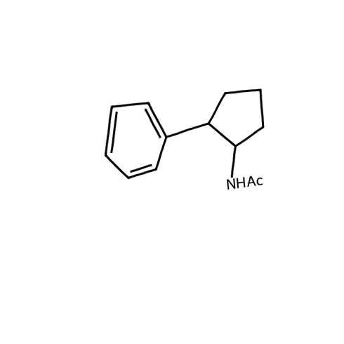 CC(=O)NC1CCCC1c1ccccc1